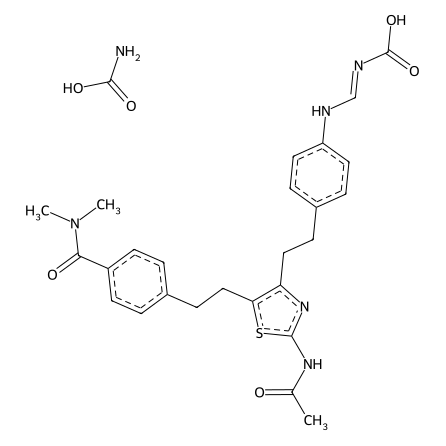 CC(=O)Nc1nc(CCc2ccc(NC=NC(=O)O)cc2)c(CCc2ccc(C(=O)N(C)C)cc2)s1.NC(=O)O